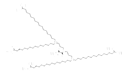 CC(C)CCCCCCCCCCCCCCCN(CCCCCCCCCCCCCCCC(C)C)CCCN(CCCN(CCCCCCCCCCCCCCCC(C)C)CCCCCCCCCCCCCCCC(C)C)C(=O)C(N)=O